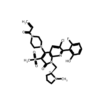 C=CC(=O)N1CCN(c2c(S(C)(=O)=O)c(=O)n(C[C@@H]3CCCN3C)c3nc(-c4c(O)cccc4F)c(Cl)cc23)CC1